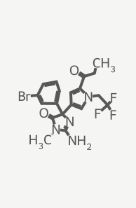 CCC(=O)c1cc(C2(c3cccc(Br)c3)N=C(N)N(C)C2=O)cn1CC(F)(F)F